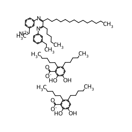 CCCCCCCCCCCCCCC(=Nc1cccc(CC)c1)C(CCCCC)=Nc1cccc(CC)c1.CCCCCc1cc(O)c(O)c(C(=O)[O-])c1CCCCC.CCCCCc1cc(O)c(O)c(C(=O)[O-])c1CCCCC.[Ni+2]